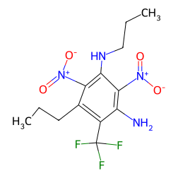 CCCNc1c([N+](=O)[O-])c(N)c(C(F)(F)F)c(CCC)c1[N+](=O)[O-]